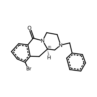 O=C1c2cccc(Br)c2C[C@@H]2CN(Cc3ccccc3)CCN12